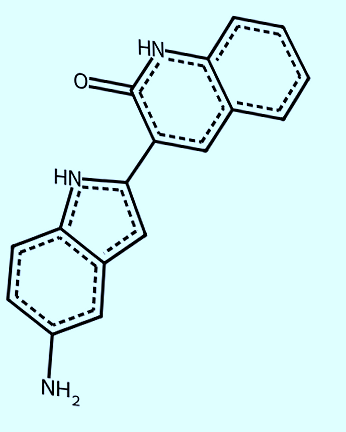 Nc1ccc2[nH]c(-c3cc4ccccc4[nH]c3=O)cc2c1